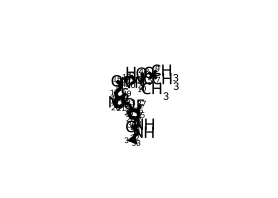 CCN(C(=O)OC(C)(C)C)[C@H]1CCN(C(=O)c2cc3nccc(Oc4ccc(NC(=O)NC5CC5)cc4F)c3s2)C1